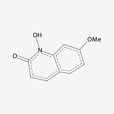 COc1ccc2ccc(=O)n(O)c2c1